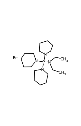 CCN(CC)[P+](N1CCCCC1)(N1CCCCC1)N1CCCCC1.[Br-]